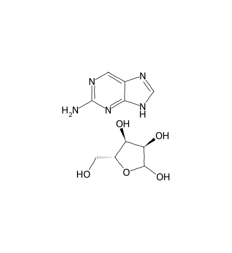 Nc1ncc2nc[nH]c2n1.OC[C@H]1OC(O)[C@H](O)[C@@H]1O